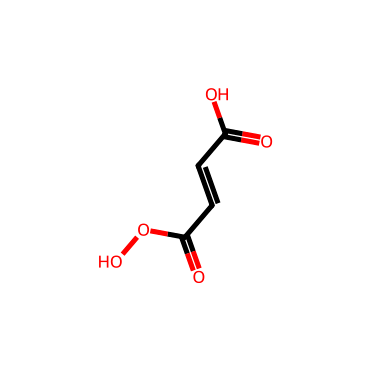 O=C(O)C=CC(=O)OO